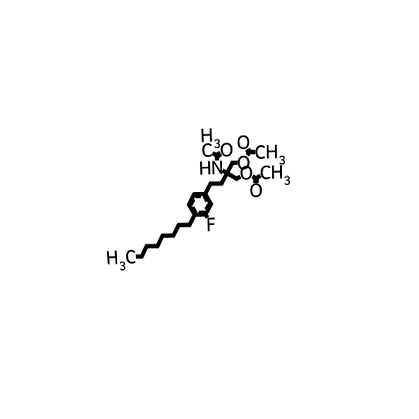 CCCCCCCCc1ccc(CCC(COC(C)=O)(COC(C)=O)NC(C)=O)cc1F